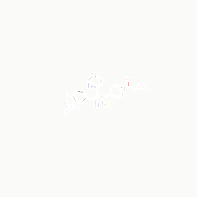 O=C(CO)N1CCC(c2[nH]nc(-c3ccc(F)c(C(F)(F)F)c3)c2-c2ccncn2)CC1